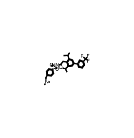 CC(C)c1cc(-c2cccc(C(F)(F)F)c2)cc(C(C)C)c1CC(=O)NS(=O)(=O)c1ccc(CN(C)C)cc1